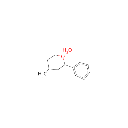 CC1CCOC(c2ccccc2)C1.O